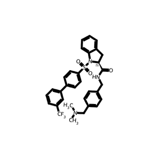 CN(C)Cc1ccc(CNC(=O)[C@@H]2Cc3ccccc3N2S(=O)(=O)c2ccc(-c3cccc(C(F)(F)F)c3)cc2)cc1